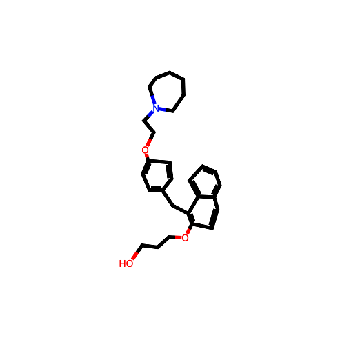 OCCCOc1ccc2ccccc2c1Cc1ccc(OCCN2CCCCCC2)cc1